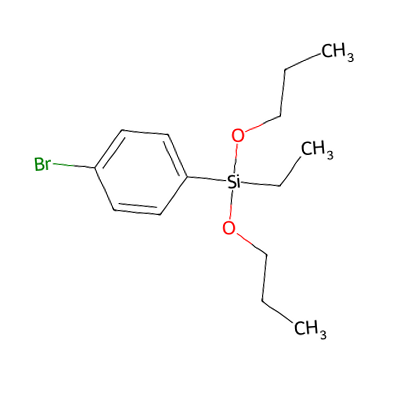 CCCO[Si](CC)(OCCC)c1ccc(Br)cc1